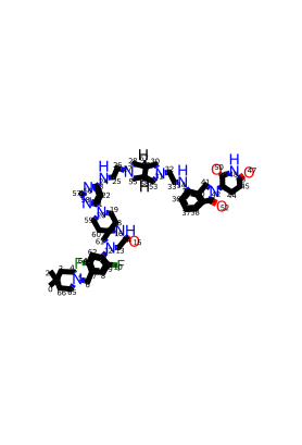 CC1(C)CCN(Cc2cc(F)c(N3CC(=O)NC4(CCN(c5cc(NCCN6C[C@@H]7CN(CCNc8cccc9c8CN(C8CCC(=O)NC8=O)C9=O)C[C@@H]7C6)ncn5)CC4)C3)cc2F)CC1